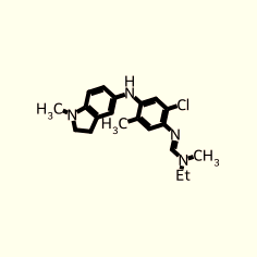 CCN(C)C=Nc1cc(C)c(Nc2ccc3c(c2)CCN3C)cc1Cl